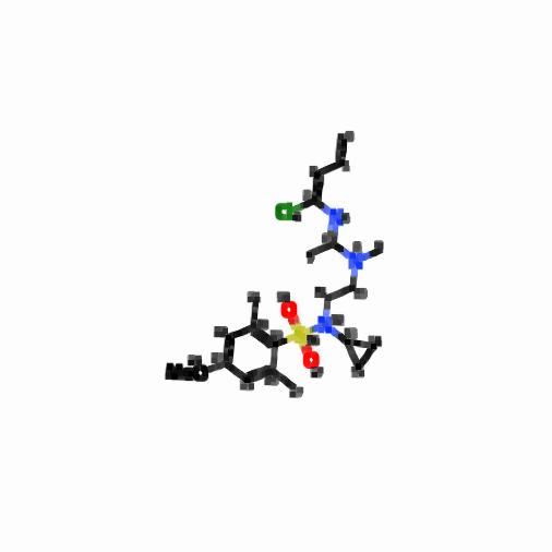 C=C/C=C(Cl)\N=C(/C)N(C)CCN(C1CC1)S(=O)(=O)c1c(C)cc(OC)cc1C